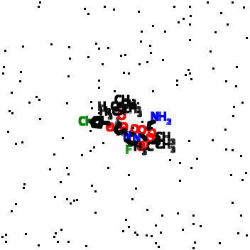 CC(C)(C)OC(=O)C(OC(=O)CCN)n1c(=O)c(F)cn([C@@H]2CC(OCc3ccc(Cl)cc3)[C@H](CO[Si](C)(C)C(C)(C)C)O2)c1=O